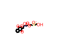 O=C(/C=C(\O)c1cc2c(o1)C(=O)c1ccccc1C2=O)OCC[S+]([O-])CCO